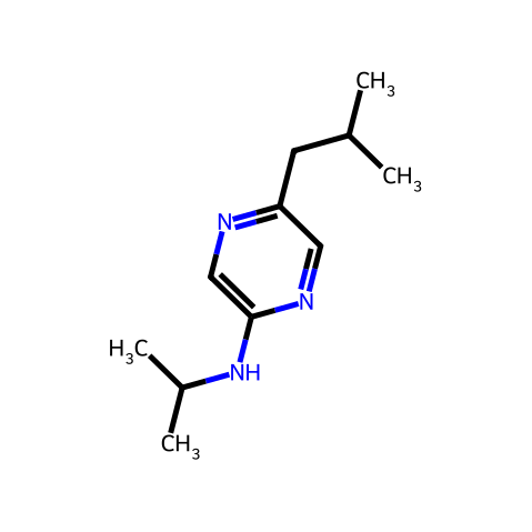 CC(C)Cc1cnc(NC(C)C)cn1